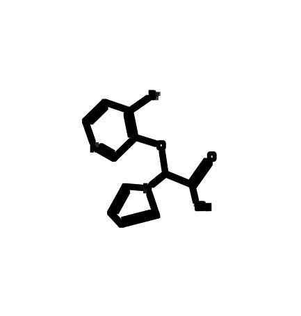 CC(C)(C)C(=O)C(Oc1cnccc1Br)n1cccc1